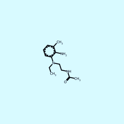 CCN(CCNC(C)=O)c1cccc(C)c1N